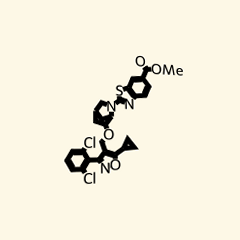 COC(=O)c1ccc2nc(N3CC4CC(OCc5c(-c6c(Cl)cccc6Cl)noc5C5CC5)C3C4)sc2c1